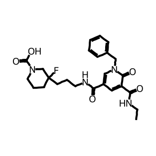 CCNC(=O)c1cc(C(=O)NCCCC2(F)CCCN(C(=O)O)C2)cn(Cc2ccccc2)c1=O